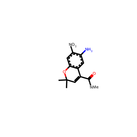 CNC(=O)C1=CC(C)(C)Oc2cc([N+](=O)[O-])c(N)cc21